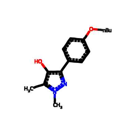 CCCCOc1ccc(-c2nn(C)c(C)c2O)cc1